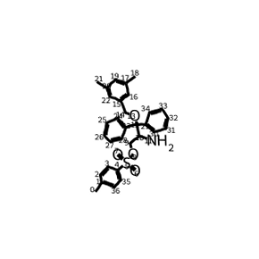 Cc1ccc(S(=O)(=O)OCC(N)C(OCc2cc(C)cc(C)c2)(c2ccccc2)c2ccccc2)cc1